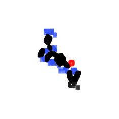 Nc1nccn2c1c(-c1ccc(C(=O)Nc3cc(C(F)(F)F)ccn3)cc1)nc2[C@H]1C[C@H](N)C1